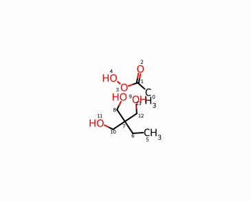 CC(=O)OO.CCC(CO)(CO)CO